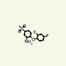 CS(=O)(=O)c1ccc(Oc2ccc(F)cc2F)c(N)c1